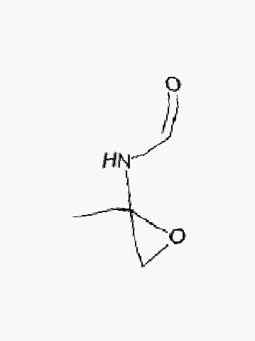 CC1(NC=O)CO1